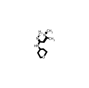 C=N/C(C)=C\C(=N/C)NC1CCOCC1